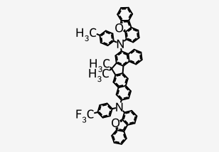 Cc1ccc(N(c2cc3c(c4ccccc24)-c2cc4ccc(N(c5ccc(C(F)(F)F)cc5)c5cccc6c5oc5ccccc56)cc4cc2C3(C)C)c2cccc3c2oc2ccccc23)cc1